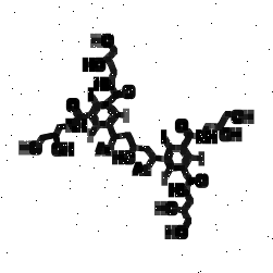 CC(=O)C(CC(O)CC(C(C)=O)c1c(I)c(C(=O)NCC(O)CO)c(I)c(C(=O)NCC(O)CO)c1I)c1c(I)c(C(=O)NCC(O)CO)c(I)c(C(=O)NCC(O)CO)c1I